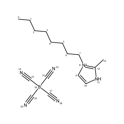 CCCCCCCC[n+]1cc[nH]c1C.N#C[B-](C#N)(C#N)C#N